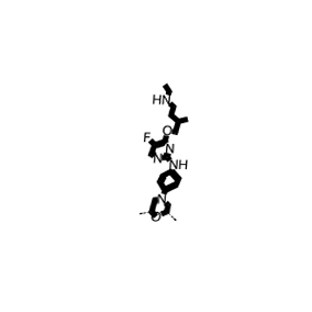 CCNCCC(C)COc1nc(Nc2ccc(N3C[C@@H](C)O[C@@H](C)C3)cc2)ncc1F